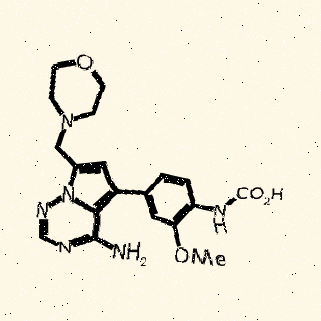 COc1cc(-c2cc(CN3CCOCC3)n3ncnc(N)c23)ccc1NC(=O)O